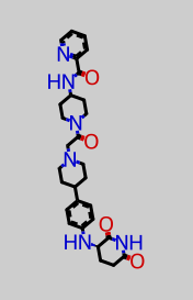 O=C1CC[C@@H](Nc2ccc(C3CCN(CC(=O)N4CCC(NC(=O)c5ccccn5)CC4)CC3)cc2)C(=O)N1